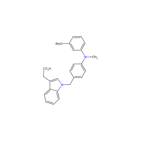 COc1cccc(N(C)c2ccc(Cn3cc(CC(=O)O)c4ccccc43)cc2)c1